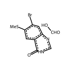 CSc1cc2c(=O)[nH]cnc2cc1Br.O=CO